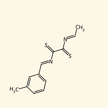 C/C=N/C(=S)C(=S)/N=C/c1cccc(C)c1